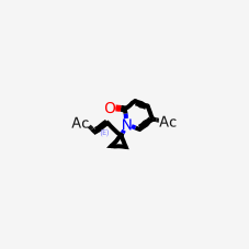 CC(=O)/C=C/C1(n2cc(C(C)=O)ccc2=O)CC1